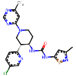 Cc1cc(NC(=O)N[C@@H]2CCN(c3cc(C(F)(F)F)ncn3)C[C@H]2c2ccc(Cl)cn2)sn1